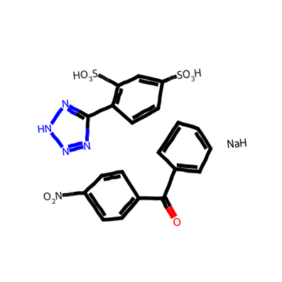 O=C(c1ccccc1)c1ccc([N+](=O)[O-])cc1.O=S(=O)(O)c1ccc(-c2nn[nH]n2)c(S(=O)(=O)O)c1.[NaH]